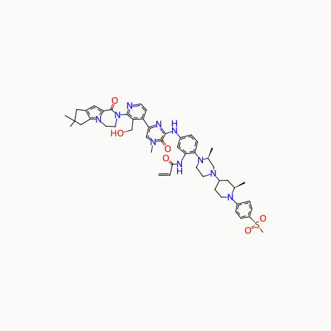 C=CC(=O)Nc1cc(Nc2nc(-c3ccnc(N4CCn5c(cc6c5CC(C)(C)C6)C4=O)c3CO)cn(C)c2=O)ccc1N1CCN(C2CCN(c3ccc(S(C)(=O)=O)cc3)[C@H](C)C2)C[C@@H]1C